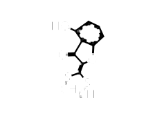 CSC(SC)=C1Oc2cccc(O)c2C1=O